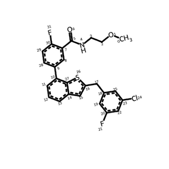 COCCNC(=O)c1cc(-c2cccc3cc(Cc4cc(F)cc(Cl)c4)sc23)ccc1F